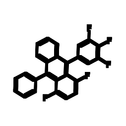 Fc1cc(-c2c3ccccc3c(-c3ccccc3)c3c(F)ccc(F)c23)cc(F)c1F